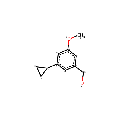 COc1cc([CH]O)cc(C2CC2)c1